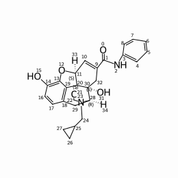 O=C(Nc1ccccc1)C1=C[C@@H]2Oc3c(O)ccc4c3[C@@]23CCN(CC2CC2)[C@H](C4)[C@]3(O)C1